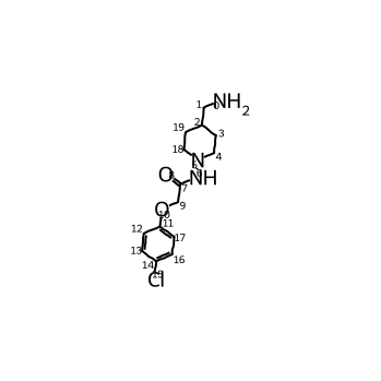 NCC1CCN(NC(=O)COc2ccc(Cl)cc2)CC1